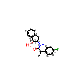 CC(C(=O)N[C@@H]1Cc2ccccc2[C@H]1O)c1ccc(F)cc1